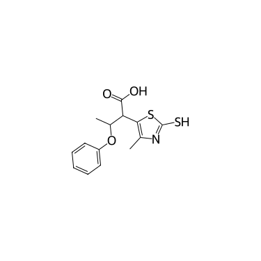 Cc1nc(S)sc1C(C(=O)O)C(C)Oc1ccccc1